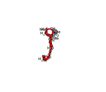 CO[C@H]1CC2CC[C@@H](C)C(O2)C(=O)C(=O)N2CCCC[C@H]2C(=O)O[C@H]([C@H](N)C[C@@H]2CC[C@@H](OC(=O)NCc3cnc(N4CCN(c5ncc(C(=O)NCCOCCOCCOCCOCCC(=O)N6CCc7cc(Cn8nc(-c9cnc%10[nH]ccc%10c9)c9c(N)ncnc98)ccc7C6)cn5)CC4)nc3)[C@H](OC)C2)CC(=O)[C@H](C)/C=C(\C)[C@@H](O)[C@@H](OC)C(=O)[C@H](C)C[C@H](C)/C=C/C=C/C=C/1C